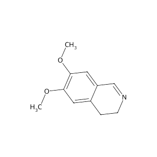 COc1cc2c(cc1OC)CCN=C2